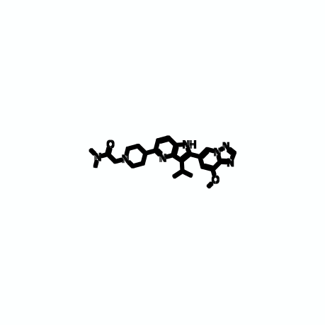 COc1cc(-c2[nH]c3ccc(C4CCN(CC(=O)N(C)C)CC4)nc3c2C(C)C)cn2ncnc12